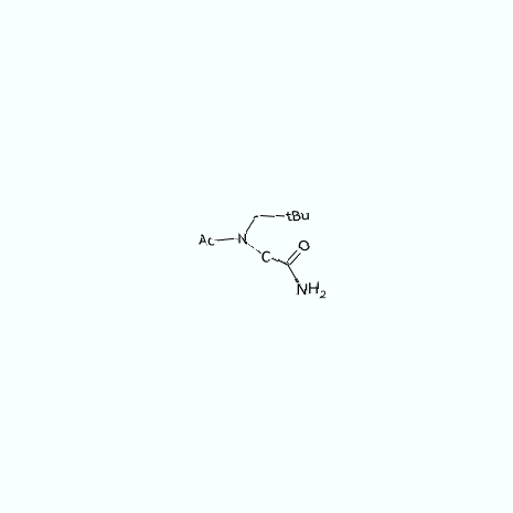 CC(=O)N(CC(N)=O)CC(C)(C)C